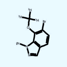 [2H]C([2H])([2H])Oc1c(Br)ccc2cnn(C(C)C)c12